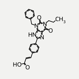 CCCn1c(=O)c2nc(-c3ccc(C=CC(=O)O)cc3)[nH]c2n(Cc2ccccc2)c1=O